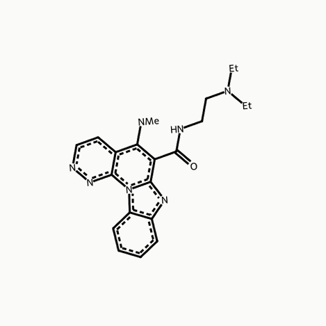 CCN(CC)CCNC(=O)c1c(NC)c2ccnnc2n2c1nc1ccccc12